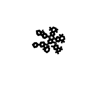 Cc1cc2c(cc1N1c3cc4c(cc3B3c5cc6c(cc5N(c5ccc7c(c5)sc5ccccc57)c5cc(N7c8ccc(-c9ccccc9)cc8C8(C)CCCCC78C)cc1c53)C(C)(C)CCC6(C)C)C(C)(C)CCC4(C)C)C(C)(C)CC2(C)C